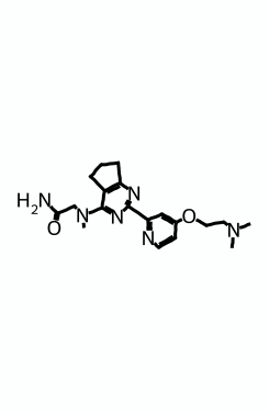 CN(C)CCOc1ccnc(-c2nc3c(c(N(C)CC(N)=O)n2)CCC3)c1